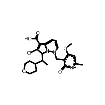 COc1cc(C)[nH]c(=O)c1CN1C=CC=C2C(C(=O)O)=C(Cl)C(C(C)C3CCOCC3)N21